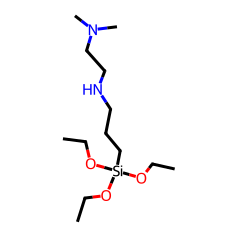 CCO[Si](CCCNCCN(C)C)(OCC)OCC